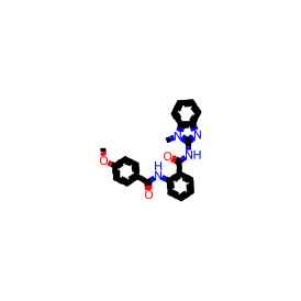 COc1ccc(C(=O)Nc2ccccc2C(=O)Nc2nc3ccccc3n2C)cc1